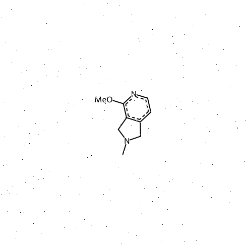 COc1nccc2c1CN(C)C2